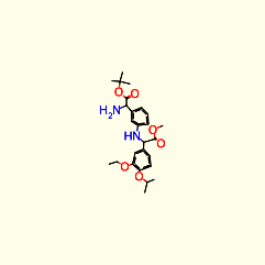 CCOc1cc(C(Nc2cccc(C(N)C(=O)OC(C)(C)C)c2)C(=O)OC)ccc1OC(C)C